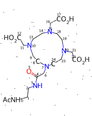 CC(=O)NCCNC(=O)CN1CCN(CC(=O)O)CCN(CC(=O)O)CCN(CC(=O)O)CC1